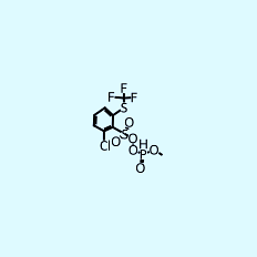 CO[PH](=O)OOS(=O)(=O)c1c(Cl)cccc1SC(F)(F)F